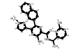 CC(NC(=O)c1nc(-c2ccc3ncccc3c2)c(-c2ccn(C)n2)nc1N)c1ccnc(C#N)n1